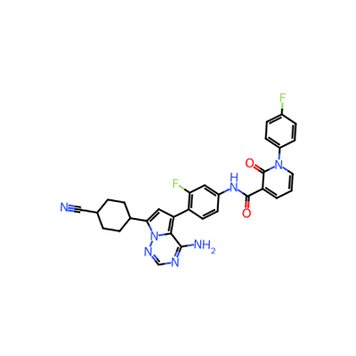 N#CC1CCC(c2cc(-c3ccc(NC(=O)c4cccn(-c5ccc(F)cc5)c4=O)cc3F)c3c(N)ncnn23)CC1